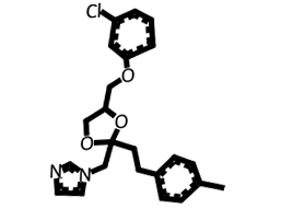 Cc1ccc(CCC2(Cn3ccnc3)OCC(COc3cccc(Cl)c3)O2)cc1